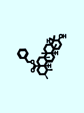 C[C@H]1[C@H](C)CC[C@]2(C(=O)OCc3ccccc3)CC[C@]3(C)C(=CC[C@@H]4[C@@]5(C)CC[C@H](O)C(C)(C)[C@@H]5CC[C@]43C)[C@@H]12